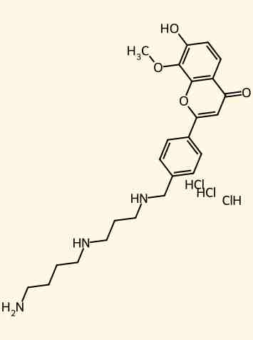 COc1c(O)ccc2c(=O)cc(-c3ccc(CNCCCNCCCCN)cc3)oc12.Cl.Cl.Cl